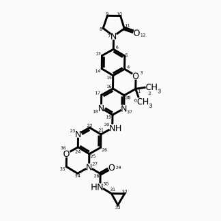 CC1(C)Oc2cc(N3CCCC3=O)ccc2-c2cnc(Nc3cnc4c(c3)N(C(=O)NC3CC3)CCO4)nc21